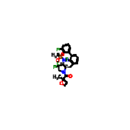 CC1(C(=O)N2CC(F)(F)[C@H](NS(C)(=O)=O)[C@@H]2Cc2cccc(-c3cccc(F)c3)c2F)CCO1